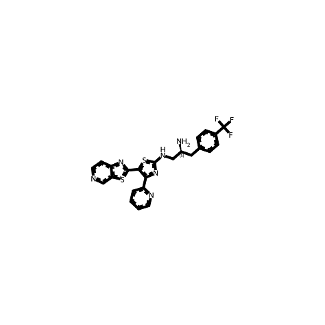 N[C@H](CNc1nc(-c2ccccn2)c(-c2nc3ccncc3s2)s1)Cc1ccc(C(F)(F)F)cc1